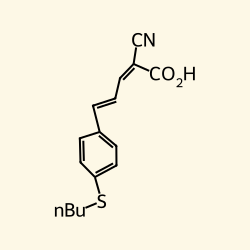 CCCCSc1ccc(C=CC=C(C#N)C(=O)O)cc1